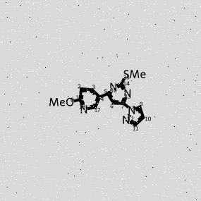 COc1ccc(-c2cc(-n3cccn3)nc(SC)n2)cn1